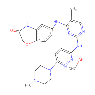 Cc1cnc(Nc2ccc(N3CCN(C)CC3)nn2)nc1Nc1ccc2c(c1)NC(=O)CO2.O=CO